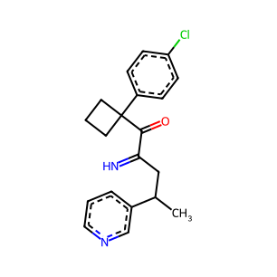 CC(CC(=N)C(=O)C1(c2ccc(Cl)cc2)CCC1)c1cccnc1